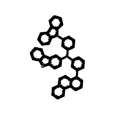 c1cc(-c2cccc3c2ccc2ccccc23)cc(N(c2cccc(-n3c4ccccc4c4ccccc43)c2)c2ccc3oc4ccccc4c3c2)c1